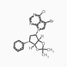 CC1(C)O[C@@H]2[C@H](O1)[C@@H](c1ccccc1)C[C@H]2n1cc(Br)c2c(Cl)ncnc21